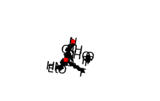 CCNC(=O)c1ccc(-n2cc(C(=O)NCCN(C)C)nn2)c(OCCCCCCF)c1.O=C(O)C(F)(F)F